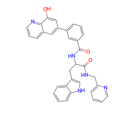 O=C(NC(Cc1c[nH]c2ccccc12)C(=O)NCc1ccccn1)c1cccc(-c2cc(O)c3ncccc3c2)c1